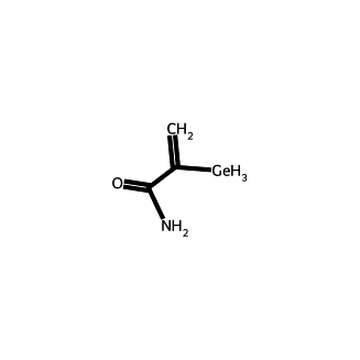 C=[C]([GeH3])C(N)=O